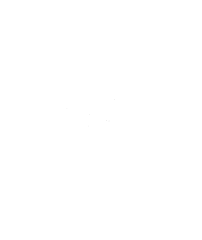 COCCCCNc1c(C#N)c(C#N)c(N)c2c1C(=O)c1ccccc1C2=O